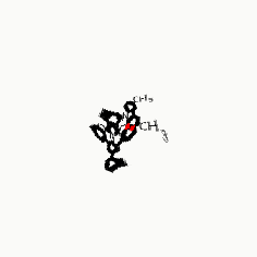 Cc1ccc2c(c1)c1cc(C)ccc1n2-c1cccc2c1C(=O)N(c1c(-c3ccccc3)cc(-c3ccccc3)cc1-c1ccccc1)C2=O